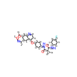 CO/N=C(/C)c1cc2c(Oc3ccc(NC(=O)C4(C(=O)Nc5ccc(F)cc5)CC4)cc3)ccnc2cc1OC